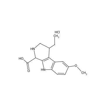 CCC1CNC(C(=O)O)c2[nH]c3ccc(OC)cc3c21.Cl